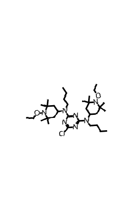 CCCCN(c1nc(Cl)nc(N(CCCC)C2CC(C)(C)N(OCC)C(C)(C)C2)n1)C1CC(C)(C)N(OCC)C(C)(C)C1